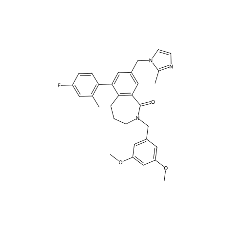 COc1cc(CN2CCCc3c(cc(Cn4ccnc4C)cc3-c3ccc(F)cc3C)C2=O)cc(OC)c1